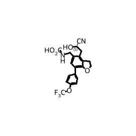 N#C[C@@H](O)Cc1c(CNC(=O)O)cc(-c2ccc(OC(F)(F)F)cc2)c2c1CCO2